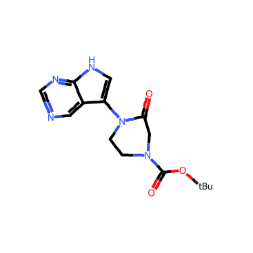 CC(C)(C)OC(=O)N1CCN(c2c[nH]c3ncncc23)C(=O)C1